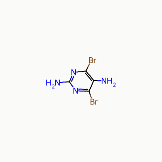 Nc1nc(Br)c(N)c(Br)n1